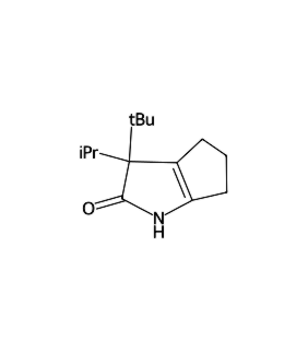 CC(C)C1(C(C)(C)C)C(=O)NC2=C1CCC2